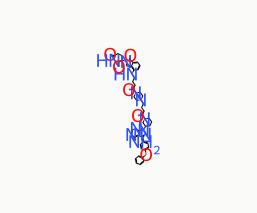 Nc1ncnc2c1c(-c1ccc(Oc3ccccc3)cc1)nn2C1CCCN(C(=O)CCCN2CCN(C(=O)CCCNc3cccc4c3CN(C3CCC(=O)NC3=O)C4=O)CC2)C1